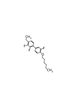 CCCCCCOc1ccc(-c2ccc(CC)c(F)c2F)cc1F